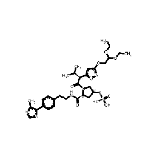 CCOC(COc1cc([C@@H](C(=O)N2C[C@@H](OP(=O)(O)O)C[C@H]2C(=O)NCCc2ccc(-c3scnc3C)cc2)C(C)C)on1)OCC